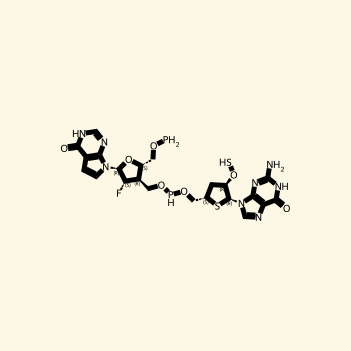 Nc1nc2c(ncn2[C@@H]2S[C@H](COPOC[C@H]3[C@H](F)[C@H](n4ccc5c(=O)[nH]cnc54)O[C@@H]3COP)C[C@H]2OS)c(=O)[nH]1